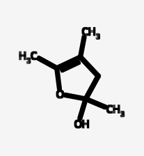 CC1=C(C)OC(C)(O)C1